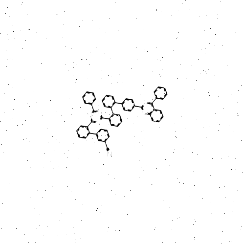 N#Cc1cccc(-c2ccccc2-c2nc(-c3ccccc3)nc(-c3ccccc3-c3ccccc3-c3ccc(-c4nc(-c5ccccc5)c5ccccc5n4)cc3)n2)c1